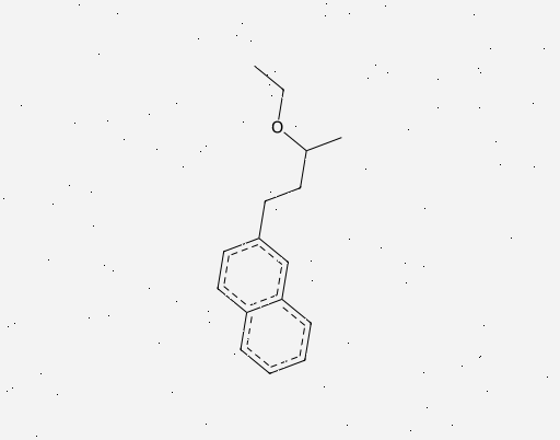 CCOC(C)CCc1ccc2ccccc2c1